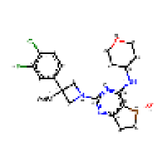 COC1(c2ccc(Cl)c(F)c2)CN(c2nc3c(c(NC4CCOCC4)n2)[S@+]([O-])CC3)C1